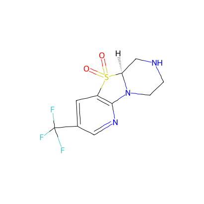 O=S1(=O)c2cc(C(F)(F)F)cnc2N2CCNC[C@@H]21